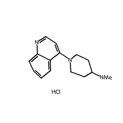 CNC1CCN(c2ccnc3ccccc23)CC1.Cl